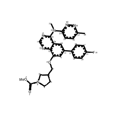 COC(=O)N1CCC(COc2cc(-c3ccc(F)cc3)cc3c(N(C)c4ccc(C)nn4)ncnc23)C1